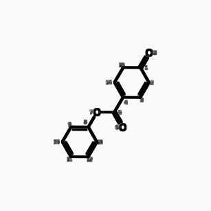 O=C1C=CC(C(=O)Oc2ccccc2)=CC1